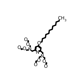 CCCCCCCCCCCCOc1cc(CN(COC=O)COC=O)nc(CN(COC=O)COC=O)c1